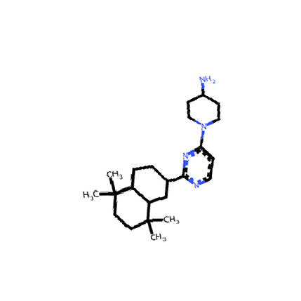 CC1(C)CCC(C)(C)C2CC(c3nccc(N4CCC(N)CC4)n3)CCC21